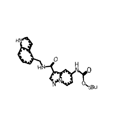 CC(C)(C)OC(=O)Nc1ccn2ncc(C(=O)NCc3cccc4[nH]ccc34)c2c1